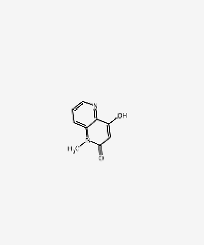 Cn1c(=O)cc(O)c2ncccc21